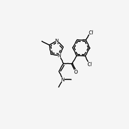 Cc1cn(/C(=C/N(C)C)C(=O)c2ccc(Cl)cc2Cl)cn1